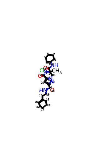 CC1(C(=O)NC2CCCCC2)Cn2nc(C(=O)NCCC3=CCCCC3)cc2C(=O)N1Cl